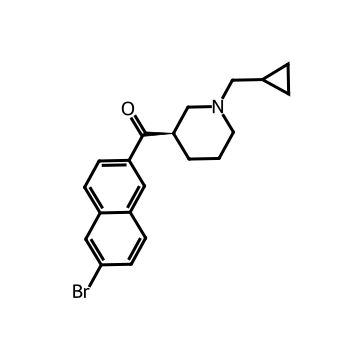 O=C(c1ccc2cc(Br)ccc2c1)[C@@H]1CCCN(CC2CC2)C1